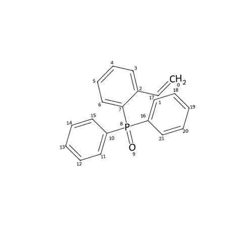 C=Cc1ccccc1P(=O)(c1ccccc1)c1ccccc1